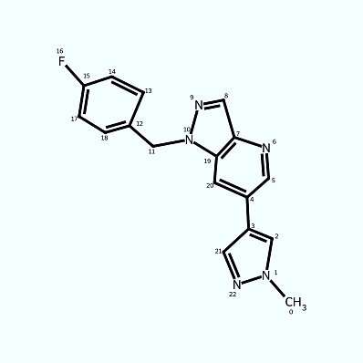 Cn1cc(-c2cnc3cnn(Cc4ccc(F)cc4)c3c2)cn1